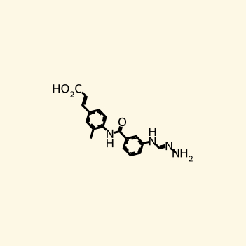 Cc1cc(C=CC(=O)O)ccc1NC(=O)c1cccc(NC=NN)c1